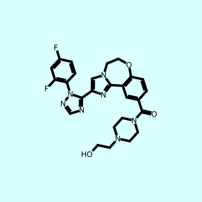 O=C(c1ccc2c(c1)-c1nc(-c3ncnn3-c3ccc(F)cc3F)cn1CCO2)N1CCN(CCO)CC1